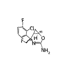 NC1=N[C@](CF)(c2cccc(F)c2Cl)C2C[C@H]2O1